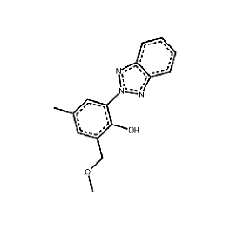 COCc1cc(C)cc(-n2nc3ccccc3n2)c1O